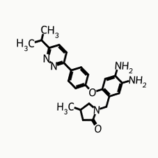 CC1CC(=O)N(Cc2cc(N)c(N)cc2Oc2ccc(-c3ccc(C(C)C)nn3)cc2)C1